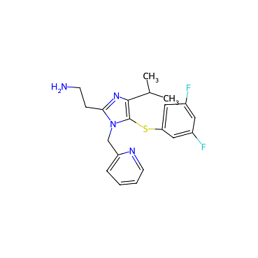 CC(C)c1nc(CCN)n(Cc2ccccn2)c1Sc1cc(F)cc(F)c1